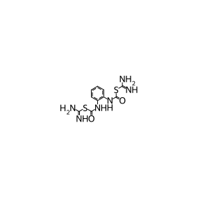 N=C(N)SC(=O)Nc1ccccc1NC(=O)SC(=N)N